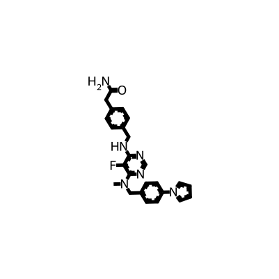 CN(Cc1ccc(-n2cccc2)cc1)c1ncnc(NCc2ccc(CC(N)=O)cc2)c1F